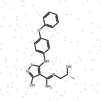 C[C@@H](O)CN=C(N)c1c(O)nsc1Nc1ccc(Oc2ccccc2)cc1